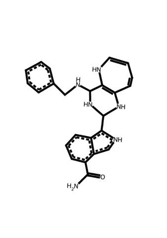 NC(=O)c1cccc2c(C3NC4=C(NC=CC=C4)C(NCc4ccccc4)N3)[nH]cc12